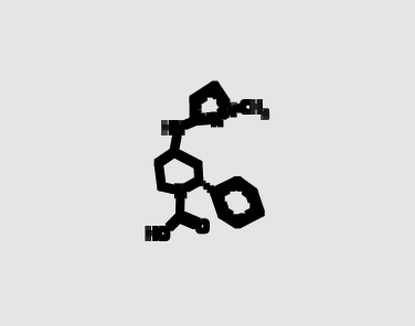 Cn1ccc(NC2CCN(C(=O)O)[C@@H](c3ccccc3)C2)n1